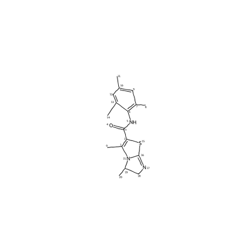 CC1=C(C(=O)Nc2c(C)cc(C)cc2C)SC2=NCC(C)N21